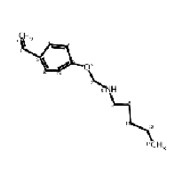 C=Cc1ccc(OCNCCCCC)cc1